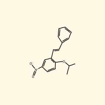 CC(C)Oc1ccc([N+](=O)[O-])cc1/C=C/c1ccccc1